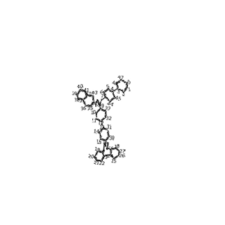 c1ccc(-c2ccc(N(c3ccc(-c4ccc(-n5c6ccccc6c6ccccc65)cc4)cc3)c3ccc4ccccc4c3)cc2)cc1